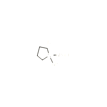 CCCCC[N+]1(CCC)CCCC1.[Br-]